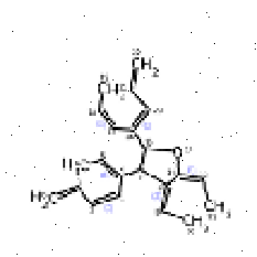 C=C/C=C\C(=C/C)C1C(=C/C)/C(=C\C)OC1C(/C=C\C)=C/C=C